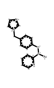 CC(=O)N(Oc1ccc(Cn2ccnc2)cc1)c1ccccn1